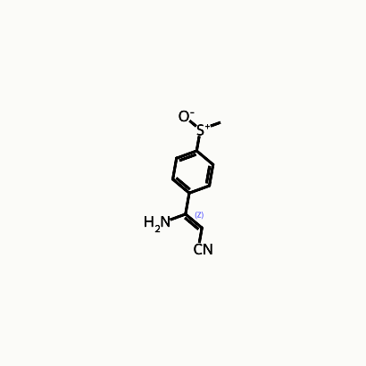 C[S+]([O-])c1ccc(/C(N)=C/C#N)cc1